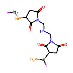 O=C1CC(PBI)C(=O)N1CNCN1C(=O)CC(B(P)I)C1=O